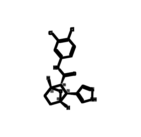 O=C(Nc1ccc(Cl)c(Cl)c1)[C@@H]1[C@@H](c2cn[nH]c2)[C@@H]2CC[C@H]1O2